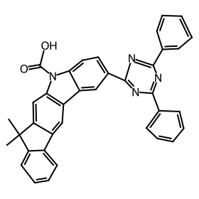 CC1(C)c2ccccc2-c2cc3c4cc(-c5nc(-c6ccccc6)nc(-c6ccccc6)n5)ccc4n(C(=O)O)c3cc21